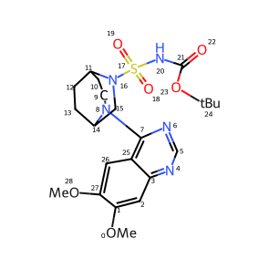 COc1cc2ncnc(N3CCC4CCC3CN4S(=O)(=O)NC(=O)OC(C)(C)C)c2cc1OC